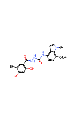 CCc1cc(C(=O)NNC(=O)Nc2ccc(OC)c3c2ccn3C(C)C)c(O)cc1O